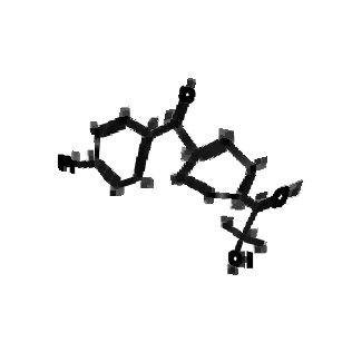 CC(C)c1ccc(C(=O)c2ccc(C(=O)C(C)(C)O)cc2)cc1